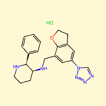 Cl.c1ccc([C@@H]2NCCC[C@@H]2NCc2cc(-n3cnnn3)cc3c2OCC3)cc1